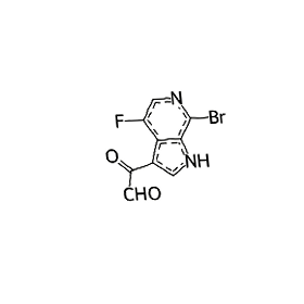 O=CC(=O)c1c[nH]c2c(Br)ncc(F)c12